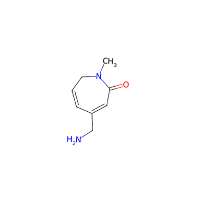 CN1CC=CC(CN)=CC1=O